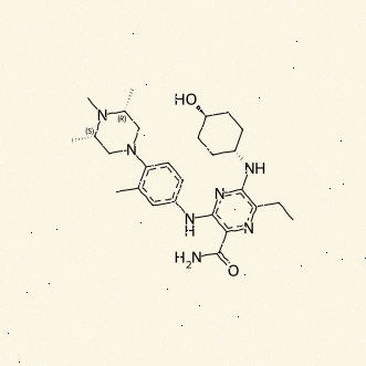 CCc1nc(C(N)=O)c(Nc2ccc(N3C[C@@H](C)N(C)[C@@H](C)C3)c(C)c2)nc1N[C@H]1CC[C@H](O)CC1